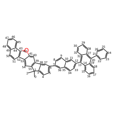 CC1(C)c2ccc(-c3ccc4cc(-c5c6ccccc6c(-c6ccccc6)c6ccccc56)ccc4c3)cc2-c2cc3oc4c5ccccc5ccc4c3cc21